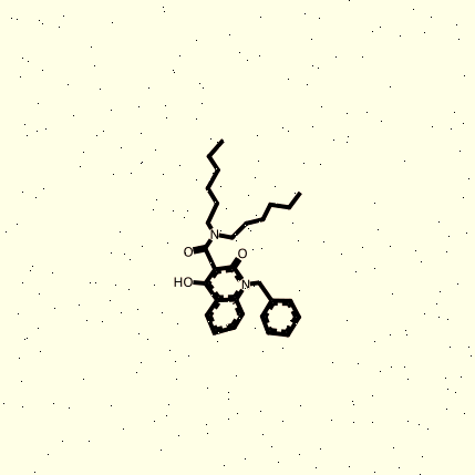 CCCCCCN(CCCCCC)C(=O)c1c(O)c2ccccc2n(Cc2ccccc2)c1=O